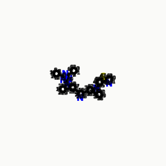 c1ccc(-c2nc(-c3ccccc3)nc(-n3c4ccccc4c4cc(-c5cncc(-c6ccc7c(c6)c6ccccc6n7-c6ccc7sc8cccnc8c7c6)c5)ccc43)n2)cc1